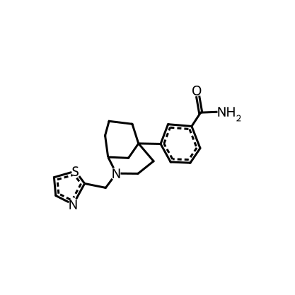 NC(=O)c1cccc(C23CCCC(C2)N(Cc2nccs2)CC3)c1